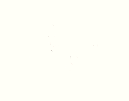 CC1CCC(N(CC2CCC(CN(C(=O)Nc3ccc(N4CCCCC4)cc3)C3CCC(C)CC3)CC2)C(=O)Nc2ccc(N3CCCCC3)cc2)CC1